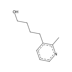 Cc1ncccc1CCCCO